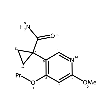 COc1cc(OC(C)C)c(C2(C(N)=O)CC2)cn1